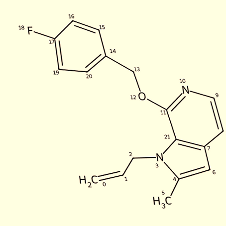 C=CCn1c(C)cc2ccnc(OCc3ccc(F)cc3)c21